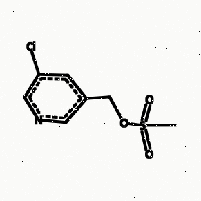 CS(=O)(=O)OCc1cncc(Cl)c1